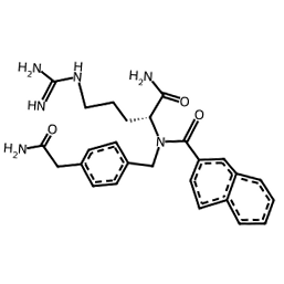 N=C(N)NCCC[C@H](C(N)=O)N(Cc1ccc(CC(N)=O)cc1)C(=O)c1ccc2ccccc2c1